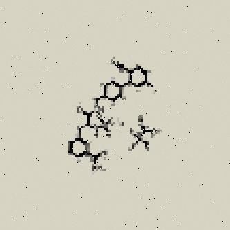 CS(=O)(=O)N[C@@H](Cc1cccc(C(=N)N)c1)C(=O)NCc1ccc(-c2cc(F)ccc2C#N)cc1.O=C(O)C(F)(F)F